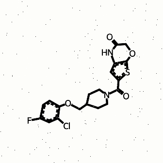 O=C1COc2sc(C(=O)N3CCC(COc4ccc(F)cc4Cl)CC3)cc2N1